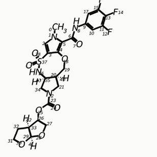 Cn1cc2c(c1C(=O)Nc1cc(F)c(F)c(F)c1)OC[C@H]1CN(C(=O)O[C@H]3CO[C@H]4OCC[C@H]43)C[C@H]1NS2(=O)=O